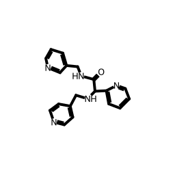 O=C(NCc1cccnc1)C(NCc1ccncc1)c1ccccn1